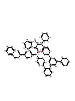 c1ccc(-c2cc(-c3ccccc3)cc(-c3ccccc3-c3ccc(N(c4ccc(-c5ccc6ccccc6c5)cc4)c4ccc(-c5ccccc5)c5oc6ccccc6c45)cc3)c2)cc1